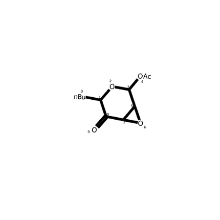 CCCCC1OC(OC(C)=O)C2OC2C1=O